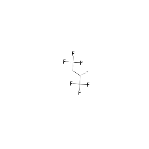 C[C@@H](CC(F)(F)F)C(F)(F)F